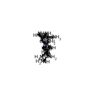 N=C(N)NCC/C=C(\NC(=O)[C@H](CCCCN)NC(=O)[C@H](Cc1cnc[nH]1)NC(=O)[C@@H]1CCCN1C(=O)/C(CCCN)=N/C(=O)CNC(=O)[C@H](CCCNC(=N)N)NC(=O)[C@@H](NC(=O)[C@@H](N)CCCCN)[C@@H](O)CN)C(N)=O